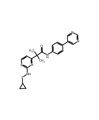 CC(C)(C(=O)Nc1ccc(-c2cncnc2)cc1)c1ccnc(NSC2CC2)n1